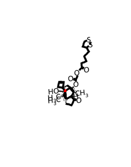 C[C@@H]1CC[C@@]2(C)[C@H](OC(=O)COC(=O)CCCCC3CCSS3)C[C@@]3(C=CC3)[C@@H](O)[C@H](C)[C@]13CCC(=O)[C@@H]23